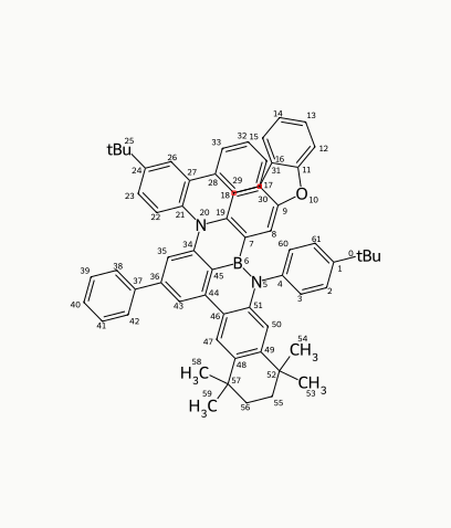 CC(C)(C)c1ccc(N2B3c4cc5oc6ccccc6c5cc4N(c4ccc(C(C)(C)C)cc4-c4ccccc4)c4cc(-c5ccccc5)cc(c43)-c3cc4c(cc32)C(C)(C)CCC4(C)C)cc1